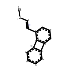 CCO/C=C/c1cccc2c1-c1ccccc1-2